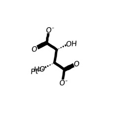 O=C([O-])[C@H](O)[C@@H](O)C(=O)[O-].[Pt+2]